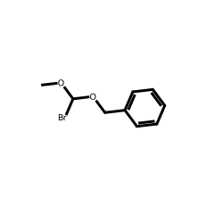 COC(Br)OCc1ccccc1